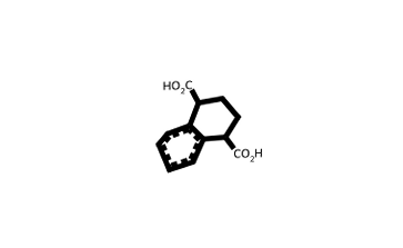 O=C(O)C1CCC(C(=O)O)c2ccccc21